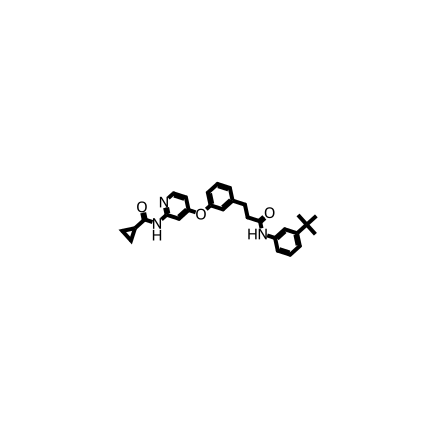 CC(C)(C)c1cccc(NC(=O)CCc2cccc(Oc3ccnc(NC(=O)C4CC4)c3)c2)c1